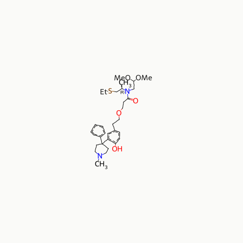 CCSC[C@@H](C)N(CC(OC)OC)C(=O)CCOCCc1ccc(O)c(C2(c3ccccc3)CCN(C)CC2)c1